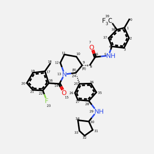 Cc1ccc(NC(=O)C[C@H]2CCCN(C(=O)c3c(C)cccc3F)[C@H]2c2ccc(NC3CCCC3)cc2)cc1C(F)(F)F